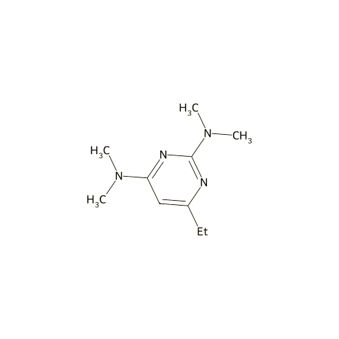 CCc1cc(N(C)C)nc(N(C)C)n1